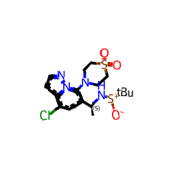 C[C@H](N[S+]([O-])C(C)(C)C)c1cc(Cl)c2ccnn2c1N1CCS(=O)(=O)CC1